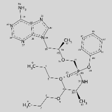 CCCOC(OCCC)[C@H](C)N[P@@](=O)(CO[C@H](C)Cn1cnc2c(N)ncnc21)Oc1ccccc1